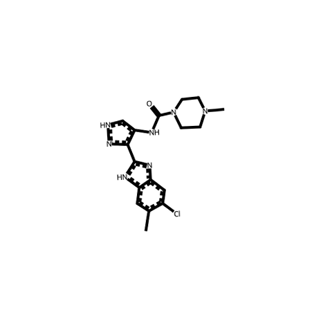 Cc1cc2[nH]c(-c3n[nH]cc3NC(=O)N3CCN(C)CC3)nc2cc1Cl